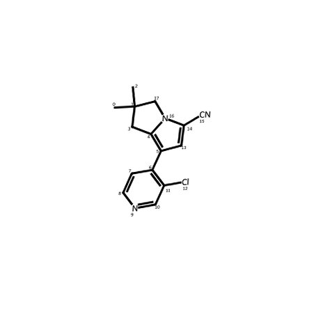 CC1(C)Cc2c(-c3ccncc3Cl)cc(C#N)n2C1